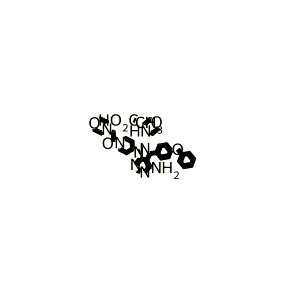 C1COCCN1.CC(=O)O.Nc1ncnc2c1c(-c1ccc(Oc3ccccc3)cc1)nn2C1CCN(C(=O)CN2CCOCC2)CC1